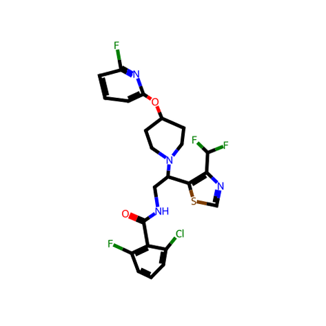 O=C(NCC(c1scnc1C(F)F)N1CCC(Oc2cccc(F)n2)CC1)c1c(F)cccc1Cl